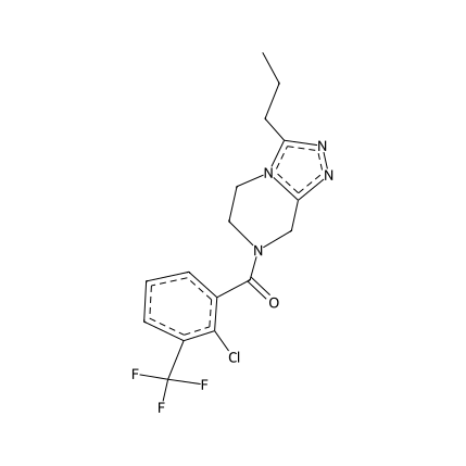 CCCc1nnc2n1CCN(C(=O)c1cccc(C(F)(F)F)c1Cl)C2